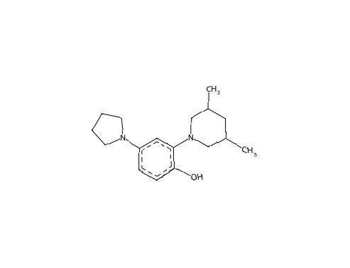 CC1CC(C)CN(c2cc(N3CCCC3)ccc2O)C1